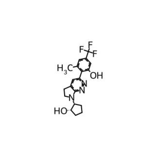 Cc1cc(C(F)(F)F)cc(O)c1-c1cc2c(nn1)N([C@H]1CCC[C@@H]1O)CC2